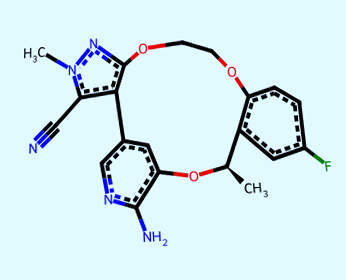 C[C@H]1Oc2cc(cnc2N)-c2c(nn(C)c2C#N)OCCOc2ccc(F)cc21